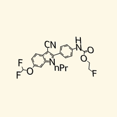 CCCn1c(-c2ccc(NC(=O)OCCF)cc2)c(C#N)c2ccc(OC(F)F)cc21